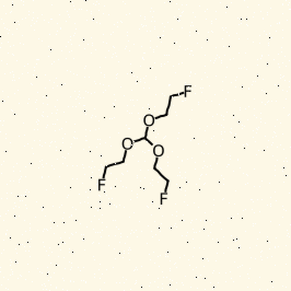 FCCOC(OCCF)OCCF